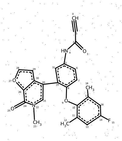 C#CC(=O)Nc1ccc(Oc2c(C)cc(F)cc2C)c(-c2cn(C)c(=O)c3occc23)c1